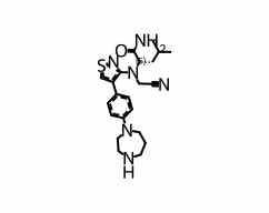 CC(C)C[C@@H](C(N)=O)N(CC#N)c1nscc1-c1ccc(N2CCCNCC2)cc1